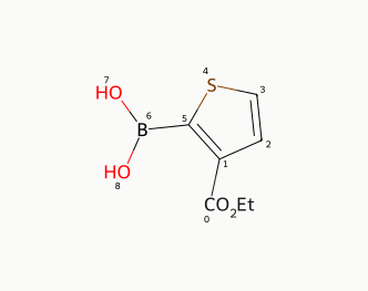 CCOC(=O)c1ccsc1B(O)O